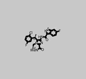 CNC(=O)c1nc(NC(=O)c2nsc3cc(F)ccc23)c([C@H](C)c2cc(F)ccc2Cl)n1CC(C)=O